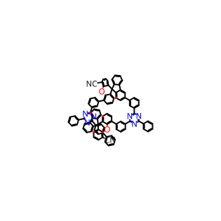 N#Cc1cccc2c1Oc1c(-c3cccc(-c4nc(-c5ccccc5)nc(-c5cccc(-c6ccc7c(c6)-c6ccccc6C76c7cccc(C#N)c7Oc7c(-c8cccc(-c9nc(-c%10ccccc%10)nc(-c%10ccc(-c%11ccccc%11)cc%10)n9)c8)cccc76)c5)n4)c3)cccc1C21c2ccccc2-c2ccccc21